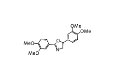 COc1ccc(-c2cnc(-c3ccc(OC)c(OC)c3)o2)cc1OC